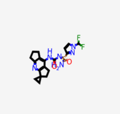 NS(=O)(=NC(=O)Nc1c2c(nc3c1CCC31CC1)CCC2)c1ccn(C(F)F)n1